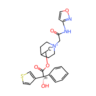 O=C(C[N+]12CCC(CC1)C(OC(=O)[C@@](O)(c1ccccc1)c1ccsc1)C2)Nc1ccon1